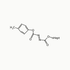 CCCCCCCOC(=O)N=NC(=O)Oc1ccc(C)cc1